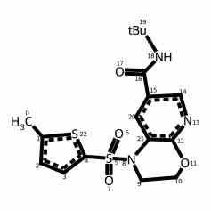 Cc1ccc(S(=O)(=O)N2CCOc3ncc(C(=O)NC(C)(C)C)cc32)s1